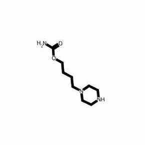 NC(=O)OCCCCN1CCNCC1